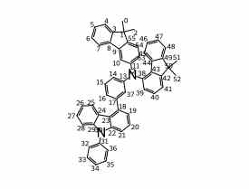 CC1(C)c2ccccc2-c2cc(N(c3cccc(-c4cccc5c4c4ccccc4n5-c4ccccc4)c3)c3cccc4c3-c3ccccc3C4(C)C)ccc21